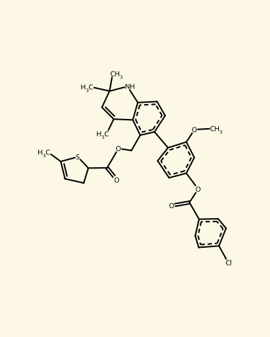 COc1cc(OC(=O)c2ccc(Cl)cc2)ccc1-c1ccc2c(c1COC(=O)C1CC=C(C)S1)C(C)=CC(C)(C)N2